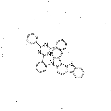 c1ccc(-c2nc(-c3ccccc3)nc(-c3ccccc3-n3c4ccccc4c4c5sc6ccccc6c5ccc43)n2)cc1